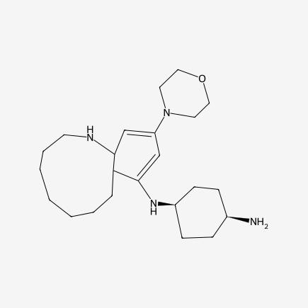 N[C@H]1CC[C@@H](NC2=CC(N3CCOCC3)=CC3NCCCCCCCC23)CC1